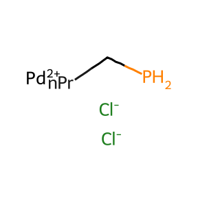 CCCCP.[Cl-].[Cl-].[Pd+2]